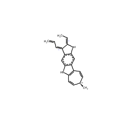 C=C/C=C1\C(=C/C)Bc2cc3c(cc21)BC1=C3C=C[C@@H](C)C=C1